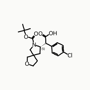 CC(C)(C)OC(=O)N1CC2(CCOC2)C[C@H]1C(C(=O)O)c1ccc(Cl)cc1